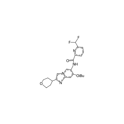 CC(C)COc1cc2nc(C3CCOCC3)cn2cc1NC(=O)c1cccc(C(F)F)n1